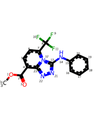 COC(=O)c1ccc(C(F)(F)F)n2c(Nc3ccccc3)nnc12